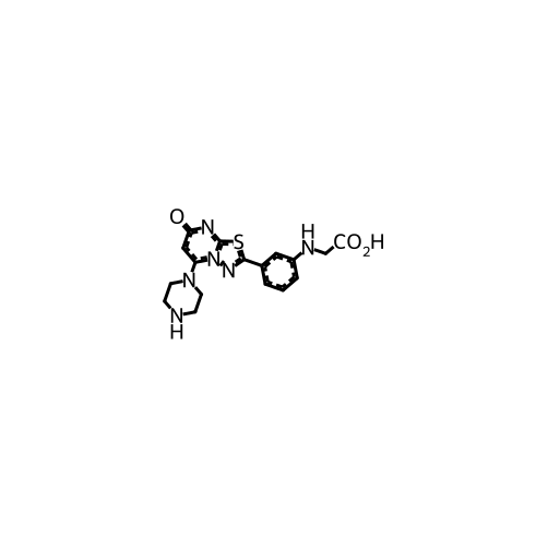 O=C(O)CNc1cccc(-c2nn3c(N4CCNCC4)cc(=O)nc3s2)c1